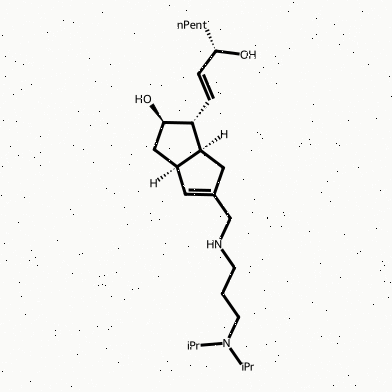 CCCCC[C@H](O)/C=C/[C@@H]1[C@H]2CC(CNCCCN(C(C)C)C(C)C)=C[C@H]2C[C@H]1O